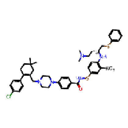 CN(C)CC[C@H](CSc1ccccc1)Nc1ccc(SNC(=O)c2ccc(N3CCN(CC4=C(c5ccc(Cl)cc5)CCC(C)(C)C4)CC3)cc2)cc1[N+](=O)[O-]